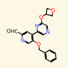 O=Cc1cc(-c2cncc(OC3COC3)n2)c(OCc2ccccc2)cn1